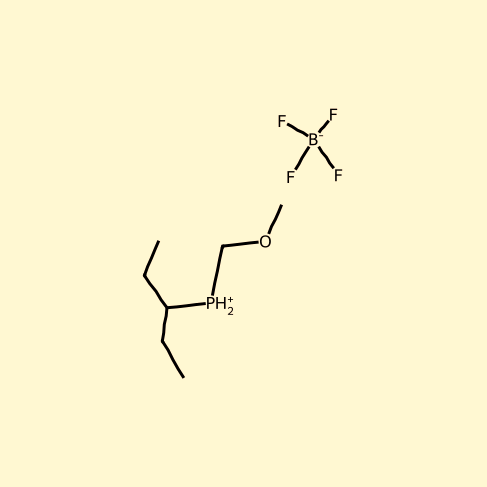 CCC(CC)[PH2+]COC.F[B-](F)(F)F